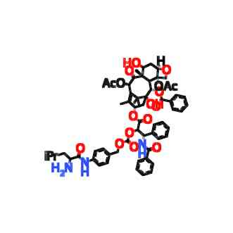 CC(=O)O[C@H]1C(=O)[C@@]2(C)C([C@H](OC(=O)c3ccccc3)[C@]3(O)C[C@H](OC(=O)[C@H](OC(=O)OCc4ccc(NC(=O)[C@@H](N)CC(C)C)cc4)[C@@H](NC(=O)c4ccccc4)c4ccccc4)C(C)=C1C3(C)C)[C@]1(OC(C)=O)CO[C@@H]1C[C@@H]2O